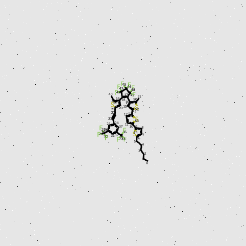 CCCCCCc1ccc(-c2ccc(-c3cc(C4=C(c5cc(C#Cc6cc(C(F)(F)F)cc(C(F)(F)F)c6)sc5C)C(F)(F)C(F)(F)C4(F)F)c(C)s3)s2)s1